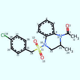 CC(=O)N1c2ccccc2N(S(=O)(=O)Cc2ccc(Cl)cc2)CC1C